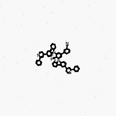 N#Cc1cccc(-c2cc(-n3c4ccccc4c4cc(-c5ccnc(-c6ccccc6)c5)ccc43)c(C(F)(F)F)c(-n3c4ccccc4c4cc(-c5ccnc(-c6ccccc6)c5)ccc43)c2)c1